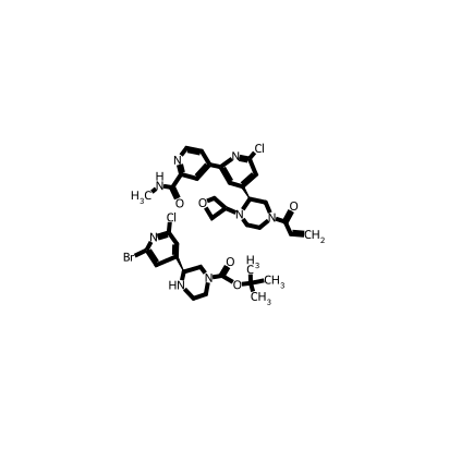 C=CC(=O)N1CCN(C2COC2)[C@@H](c2cc(Cl)nc(-c3ccnc(C(=O)NC)c3)c2)C1.CC(C)(C)OC(=O)N1CCN[C@@H](c2cc(Cl)nc(Br)c2)C1